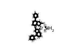 CC1=Cc2c(-c3ccccc3)cccc2[CH]1[Zr][CH]1C(C)=Cc2c(-c3ccccc3)cccc21.C[SiH2]C